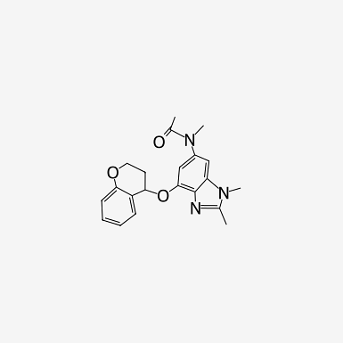 CC(=O)N(C)c1cc(OC2CCOc3ccccc32)c2nc(C)n(C)c2c1